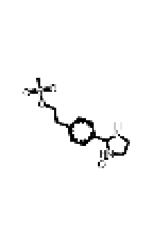 CS(=O)(=O)OCCc1ccc(C2NCC[NH+]2[O-])cc1